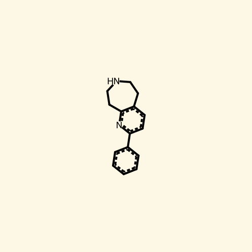 c1ccc(-c2ccc3c(n2)CCNCC3)cc1